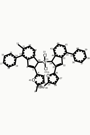 Cc1ccc(C2=Cc3c(ccc(C)c3-c3ccccc3)[CH]2[Zr]([Cl])([Cl])[CH]2C(c3ccc(C(C)(C)C)o3)=Cc3c(-c4ccccc4)cccc32)o1